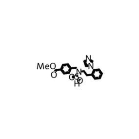 COC(=O)c1ccc(CN(CCc2ccccc2-n2ccnc2)[SH](=O)=O)cc1